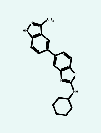 Cc1n[nH]c2ccc(-c3ccc4oc(NC5CCCCC5)nc4c3)cc12